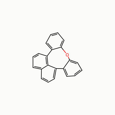 c1ccc2c(c1)Oc1ccccc1-c1cccc3cccc-2c13